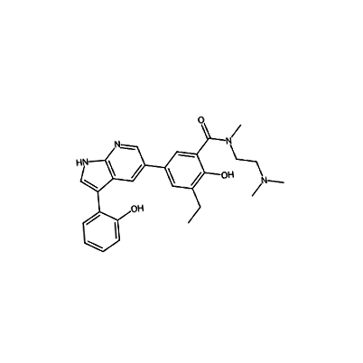 CCc1cc(-c2cnc3[nH]cc(-c4ccccc4O)c3c2)cc(C(=O)N(C)CCN(C)C)c1O